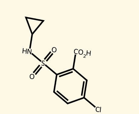 O=C(O)c1cc(Cl)ccc1S(=O)(=O)NC1CC1